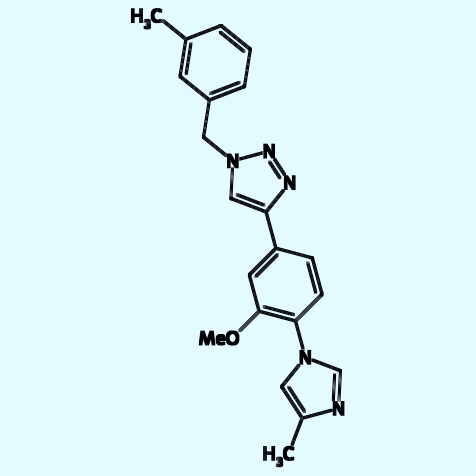 COc1cc(-c2cn(Cc3cccc(C)c3)nn2)ccc1-n1cnc(C)c1